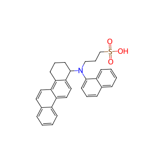 O=S(=O)(O)CCCN(c1cccc2ccccc12)C1CCCc2c1ccc1c2ccc2ccccc21